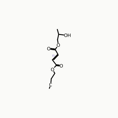 CCCCOC(=O)/C=C/C(=O)OCC(C)O